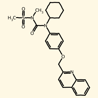 CN(C(=O)N(c1ccc(OCc2ccc3ccccc3n2)cc1)C1CCCCC1)S(C)(=O)=O